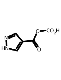 O=C(O)OC(=O)c1cn[nH]c1